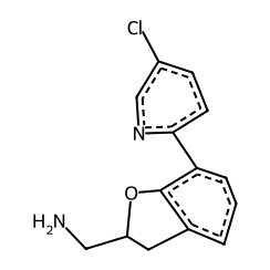 NCC1Cc2cccc(-c3ccc(Cl)cn3)c2O1